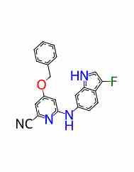 N#Cc1cc(OCc2ccccc2)cc(Nc2ccc3c(F)c[nH]c3c2)n1